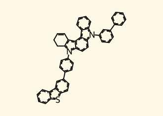 C1=Cc2c(n(-c3ccc(-c4ccc5sc6ccccc6c5c4)cc3)c3ccc4c(c5ccccc5n4-c4cccc(-c5ccccc5)c4)c23)CC1